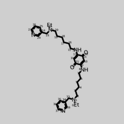 CCN(CCCCCCNC1=CC(=O)C(NCCCCCCN(CC)Cc2cccnc2)=CC1=O)Cc1cccnc1